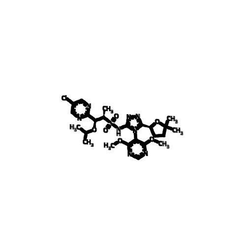 COc1ncnc(OC)c1-n1c(NS(=O)(=O)[C@@H](C)[C@@H](OC(C)C)c2ncc(Cl)cn2)nnc1[C@@H]1CCC(C)(C)O1